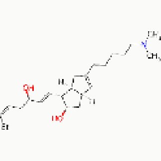 CC/C=C\C[C@@H](O)/C=C/[C@@H]1[C@H]2CC(CCCCCN(C)C)=C[C@H]2C[C@H]1O